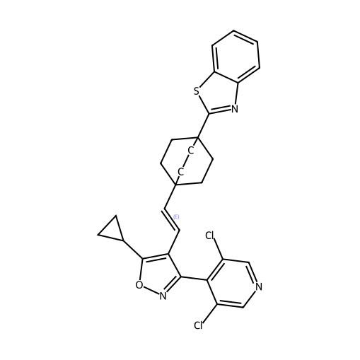 Clc1cncc(Cl)c1-c1noc(C2CC2)c1/C=C/C12CCC(c3nc4ccccc4s3)(CC1)CC2